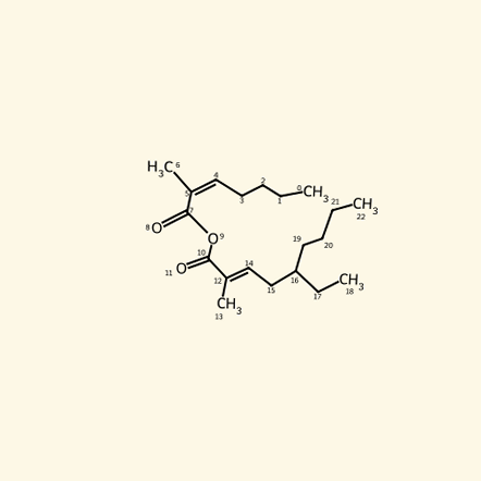 CCCCC=C(C)C(=O)OC(=O)C(C)=CCC(CC)CCCC